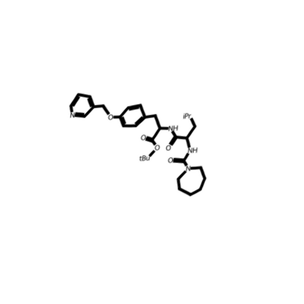 CC(C)CC(NC(=O)N1CCCCCC1)C(=O)NC(Cc1ccc(OCc2cccnc2)cc1)C(=O)OC(C)(C)C